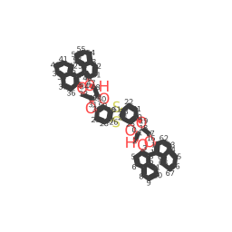 OCCOc1ccc2ccccc2c1-c1c(OCCOc2ccc3c(c2)Sc2ccc(OCCOc4ccc5ccccc5c4-c4c(OCCO)ccc5ccccc45)cc2S3)ccc2ccccc12